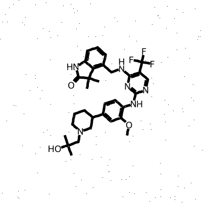 COc1cc(C2CCCN(CC(C)(C)O)C2)ccc1Nc1ncc(C(F)(F)F)c(NCc2cccc3c2C(C)(C)C(=O)N3)n1